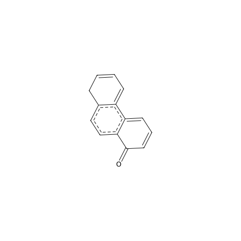 O=C1C=CC=c2c1ccc1c2=CC=CC1